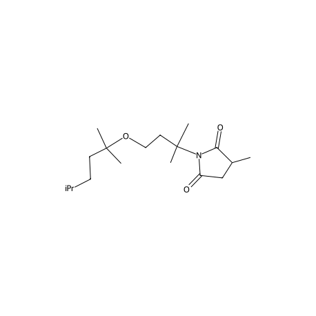 CC(C)CCC(C)(C)OCCC(C)(C)N1C(=O)CC(C)C1=O